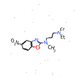 CCN(CC)CCCN(C)c1nc2cc([N+](=O)[O-])ccc2o1